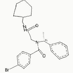 C[C@H](c1ccccc1)N(CC(=O)NC1CCCCC1)C(=O)c1ccc(Br)cc1